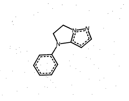 c1ccc(N2CCn3nccc32)cc1